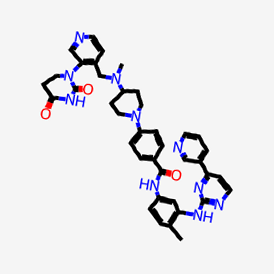 Cc1ccc(NC(=O)c2ccc(N3CCC(N(C)Cc4ccncc4N4CCC(=O)NC4=O)CC3)cc2)cc1Nc1nccc(-c2cccnc2)n1